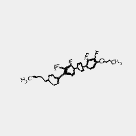 C/C=C/CCC1CCC(c2ccc(-c3ccc(-c4ccc(OCCC)c(F)c4F)cc3)c(F)c2F)CC1